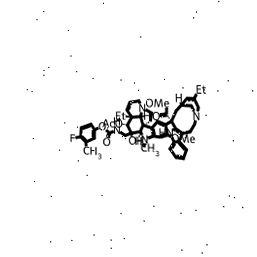 CCC1=C[C@@H]2CN(CCc3c([nH]c4ccccc34)[C@@](C(=O)OC)(c3cc4c(cc3OC)N(C)[C@H]3C(O)(CNC(=O)Oc5ccc(F)c(C)c5)[C@H](OC(C)=O)[C@]5(CC)C=CCN6CC[C@]43[C@@H]65)C2)C1